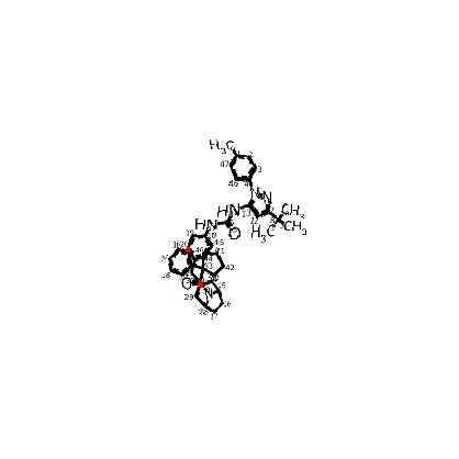 Cc1ccc(-n2nc(C(C)(C)C)cc2NC(=O)Nc2ccc(CC3CC4CCC(C3)N4C(=O)C3(c4ccccc4)CCCC3)cc2)cc1